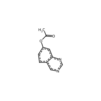 CC(=O)Oc1ccc2cncnc2c1